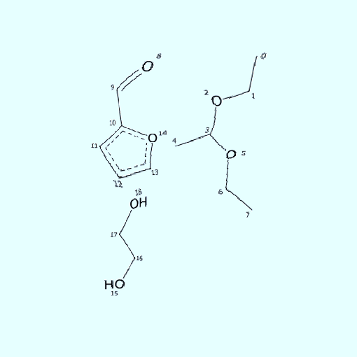 CCOC(C)OCC.O=Cc1ccco1.OCCO